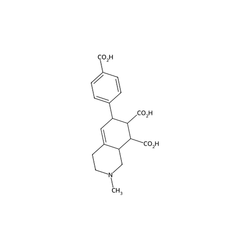 CN1CCC2=CC(c3ccc(C(=O)O)cc3)C(C(=O)O)C(C(=O)O)C2C1